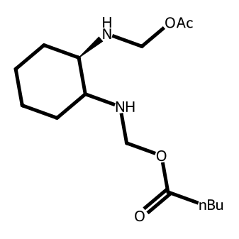 CCCCC(=O)OCNC1CCCC[C@H]1NCOC(C)=O